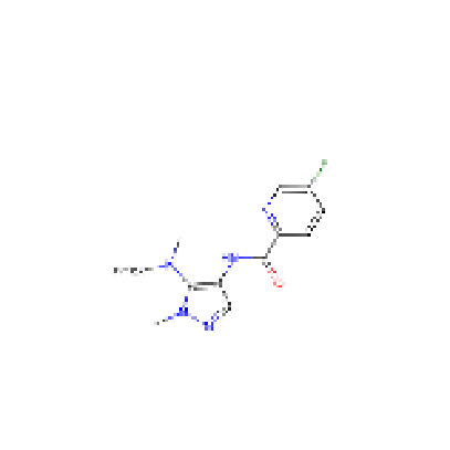 CCCCCCN(C)c1c(NC(=O)c2ccc(F)cn2)cnn1C